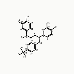 Cc1ccc(C(CC[C@@H](C)c2ccc(C)c(C)c2)Cc2ccc(C(C)(C)C)cc2)cc1C